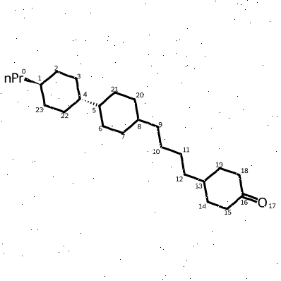 CCC[C@H]1CC[C@H](C2CCC(CCCCC3CCC(=O)CC3)CC2)CC1